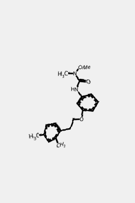 CON(C)C(=O)Nc1cccc(OCCc2ccc(C)cc2C)c1